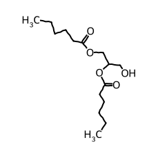 CCCCCC(=O)OCC(CO)OC(=O)CCCCC